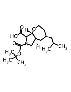 CC(C)C[C@@H]1CCO[C@H]2C(C(=O)O)N(C(=O)OC(C)(C)C)C[C@@H]2C1